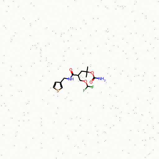 CC(C)(CC(COC(F)F)C(=O)NCc1ccsc1)OC(N)=O